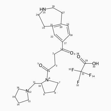 O=C(CCC(=O)N1CCCC1CN1CCCC1)c1ccc2c(c1)CCNCC2.O=C(O)C(F)(F)F